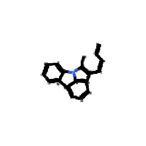 C=C/C=C\c1c(C)n2c3ccccc3c3cccc1c32